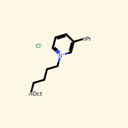 CCCCCCCCCCCC[n+]1cccc(CCC)c1.[Cl-]